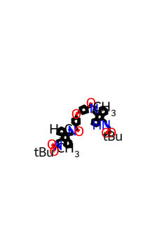 CN(Cc1c2ccccc2c(CN(C)C(=O)c2ccc(Oc3ccc(C(=O)N(C)Cc4c5ccccc5c(CNCC(=O)OC(C)(C)C)c5ccccc45)cc3)cc2)c2ccccc12)C(=O)OC(C)(C)C